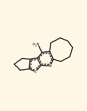 Nc1c2c(nc3sc4c(c13)CCC4)CCCCCC2